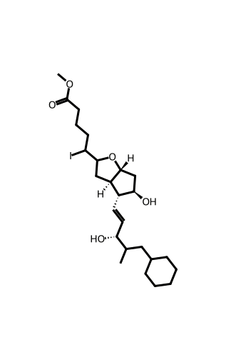 COC(=O)CCCC(I)C1C[C@@H]2[C@@H](/C=C/[C@@H](O)C(C)CC3CCCCC3)[C@H](O)C[C@H]2O1